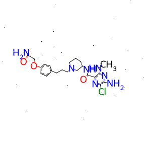 CNc1nc(N)c(Cl)nc1C(=O)NC1CCCN(CCCc2ccc(OCC(N)=O)cc2)C1